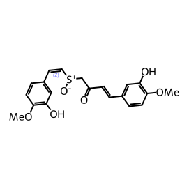 COc1ccc(C=CC(=O)C[S+]([O-])/C=C\c2ccc(OC)c(O)c2)cc1O